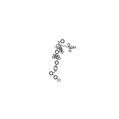 CC(CC(Sc1ccccc1)N(C)CCCCC(=O)NO)Nc1ccc(S(=O)(=O)NC(=O)c2ccc(N3CCN(Cc4ccccc4-c4ccc(Cl)cc4)CC3)cc2)cc1[N+](=O)[O-]